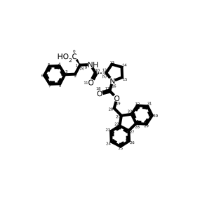 O=C(O)[C@H](Cc1ccccc1)NC(=O)[C@@H]1CCCN1C(=O)OCC1c2ccccc2-c2ccccc21